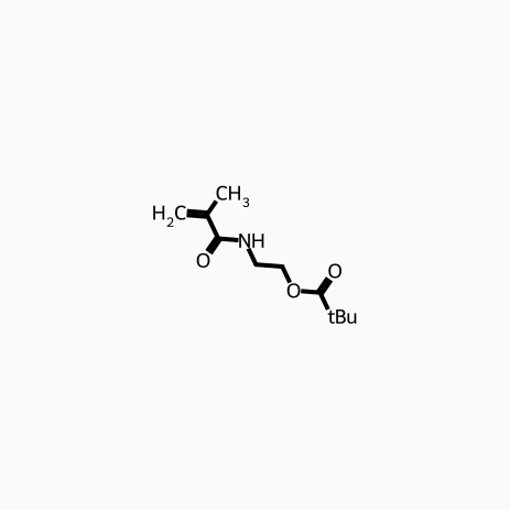 C=C(C)C(=O)NCCOC(=O)C(C)(C)C